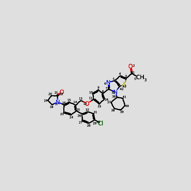 CC(=O)c1cc2nc(-c3ccc(OCc4cc(N5CCCC5=O)ccc4-c4ccc(Cl)cc4)cc3)n(C3CCCCC3)c2s1